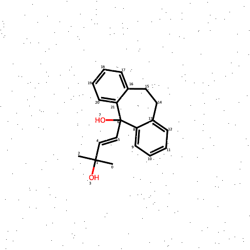 CC(C)(O)/C=C/C1(O)c2ccccc2CCc2ccccc21